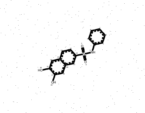 O=S(=O)(Nc1ccccc1)c1ccc2cc(O)c(O)cc2c1